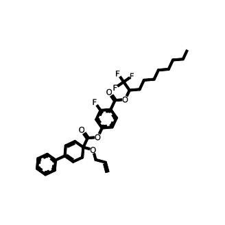 C=CCOC1(C(=O)Oc2ccc(C(=O)OC(CCCCCCCC)C(F)(F)F)c(F)c2)C=CC(c2ccccc2)=CC1